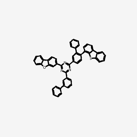 c1ccc(-c2cccc(-c3nc(-c4ccc(-c5cccc6c5sc5ccccc56)c(-c5ccccc5)c4)nc(-c4ccc5c(c4)oc4ccccc45)n3)c2)cc1